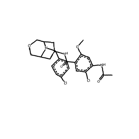 COc1cc(NC(C)=O)c(Cl)cc1C(=O)NC1CC2COCC(C1)N2Cc1ccc(Cl)cc1